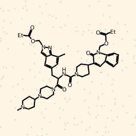 CCC(=O)OCn1cc2cc(CC(NC(=O)N3CCC(c4cc5ccccc5n(COC(=O)CC)c4=O)CC3)C(=O)N3CCN(C4CCN(C)CC4)CC3)cc(C)c2n1